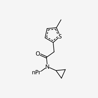 CCCN(C(=O)Cc1ccc(C)s1)C1CC1